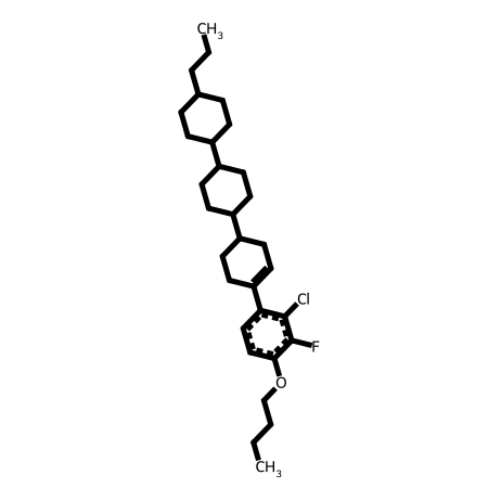 CCCCOc1ccc(C2=CCC(C3CCC(C4CCC(CCC)CC4)CC3)CC2)c(Cl)c1F